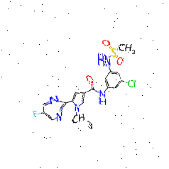 Cn1cc(C(=O)Nc2cc(Cl)cc(NS(C)(=O)=O)c2)cc1-c1ncc(F)cn1